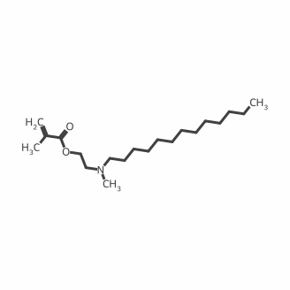 C=C(C)C(=O)OCCN(C)CCCCCCCCCCCCC